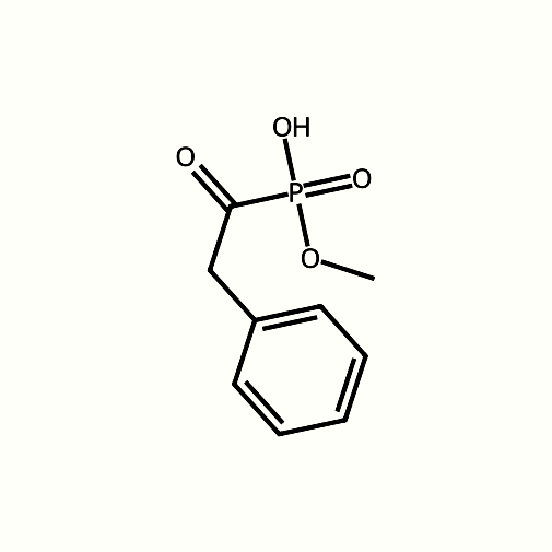 COP(=O)(O)C(=O)Cc1ccccc1